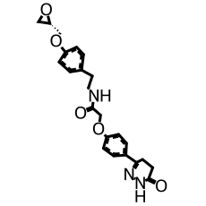 O=C(COc1ccc(C2=NNC(=O)CC2)cc1)NCCc1ccc(OC[C@@H]2CO2)cc1